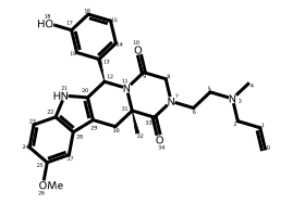 C=CCN(C)CCN1CC(=O)N2[C@H](c3cccc(O)c3)c3[nH]c4ccc(OC)cc4c3C[C@@]2(C)C1=O